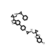 Clc1ccc2nc(C3(CNC4C[C@@H]4c4ccc(-c5ccc6c(C7(CNC8CC8c8ccccc8)CC7)noc6c5)cc4)CC3)oc2c1